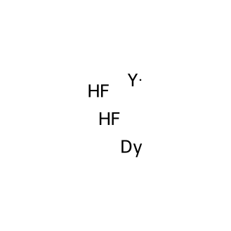 F.F.[Dy].[Y]